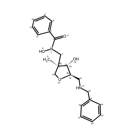 C[C@@]1(CN(O)C(=O)c2ccccc2)CO[C@H](CNCc2ccccc2)[C@H]1O